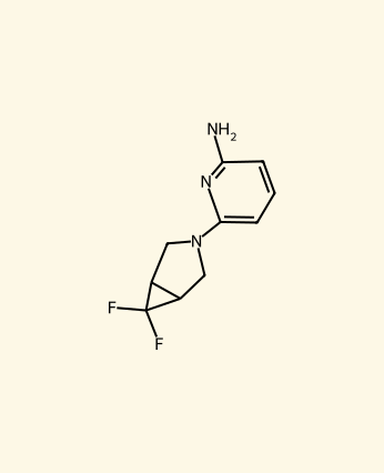 Nc1cccc(N2CC3C(C2)C3(F)F)n1